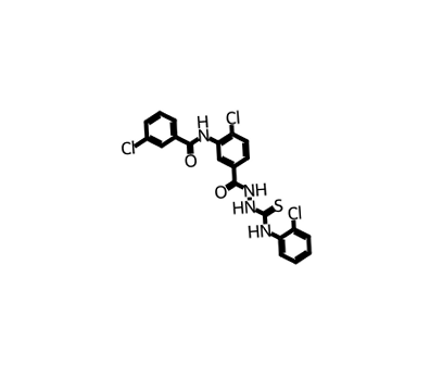 O=C(NNC(=S)Nc1ccccc1Cl)c1ccc(Cl)c(NC(=O)c2cccc(Cl)c2)c1